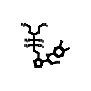 CCOP(OCC)C(C)(C)C(C)(C)CSc1nonc1/C(=N/O)Nc1ccc(F)c(Br)c1